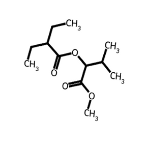 CCC(CC)C(=O)OC(C(=O)OC)C(C)C